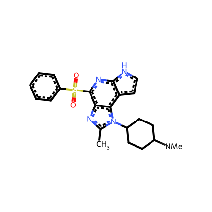 CNC1CCC(n2c(C)nc3c(S(=O)(=O)c4ccccc4)nc4[nH]ccc4c32)CC1